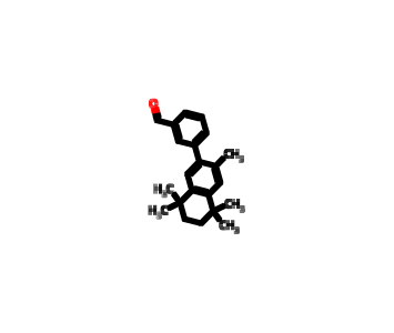 Cc1cc2c(cc1-c1cccc(C=O)c1)C(C)(C)CCC2(C)C